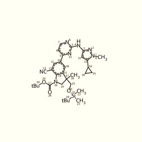 Cn1nc(Nc2nccc(-c3cc(C#N)c4c(c3)C(C)(CO[Si](C)(C)C(C)(C)C)CN4C(=O)OC(C)(C)C)n2)cc1C1CC1